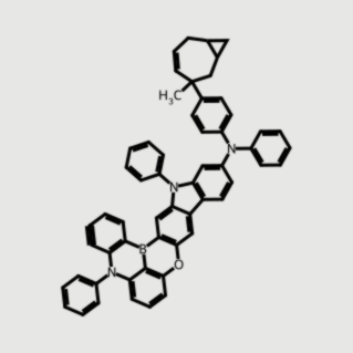 CC1(c2ccc(N(c3ccccc3)c3ccc4c5cc6c(cc5n(-c5ccccc5)c4c3)B3c4ccc#cc4N(c4ccccc4)c4cccc(c43)O6)cc2)C=CCC2CC2C1